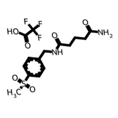 CS(=O)(=O)c1ccc(CNC(=O)CCCC(N)=O)cc1.O=C(O)C(F)(F)F